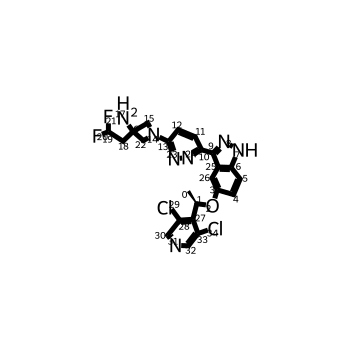 C[C@@H](Oc1ccc2[nH]nc(-c3ccc(N4CC(N)(CC(F)F)C4)nn3)c2c1)c1c(Cl)cncc1Cl